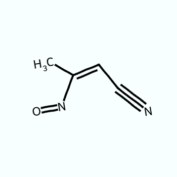 C/C(=C/C#N)N=O